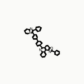 c1ccc(-c2nc3c(ccc4c(-c5ccc(-c6ccc(-c7c(-c8ccccc8)nc8ccccn78)cc6)cc5)nc5ccccc5c43)o2)cc1